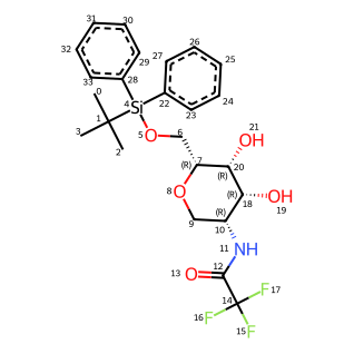 CC(C)(C)[Si](OC[C@H]1OC[C@@H](NC(=O)C(F)(F)F)[C@@H](O)[C@H]1O)(c1ccccc1)c1ccccc1